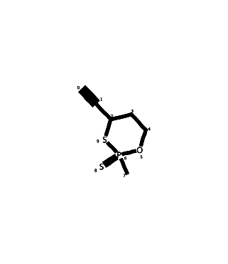 C#CC1CCOP(C)(=S)S1